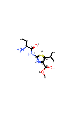 CC[C@H](N)C(=O)Nc1nc(C(=O)OC)c(C(C)C)s1